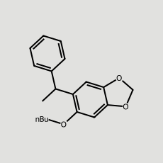 CCCCOc1cc2c(cc1C(C)c1ccccc1)OCO2